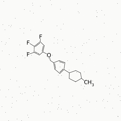 CC1CCC(c2ccc(COc3cc(F)c(F)c(F)c3)cc2)CC1